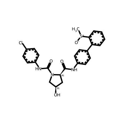 C[S+]([O-])c1ccccc1-c1ccc(NC(=O)[C@H]2C[C@@H](O)CN2C(=O)Nc2ccc(Cl)cc2)cc1